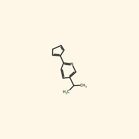 CC(C)c1ccc(C2=CCC=C2)nc1